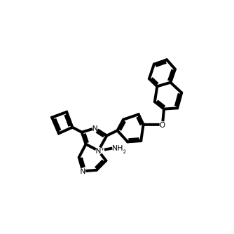 N[N+]12C=CN=CC1=C(C1=CC=C1)N=C2c1ccc(Oc2ccc3ccccc3c2)cc1